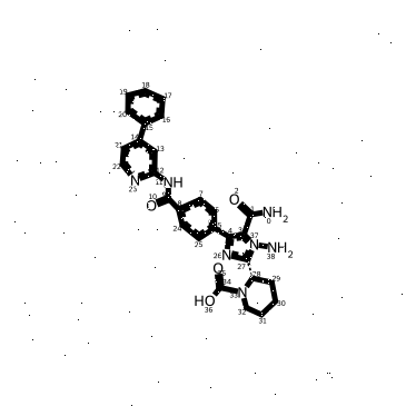 NC(=O)c1c(-c2ccc(C(=O)Nc3cc(-c4ccccc4)ccn3)cc2)nc([C@@H]2CCCCN2C(=O)O)n1N